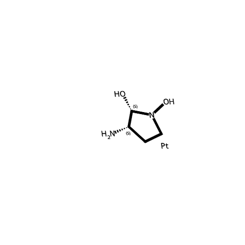 N[C@H]1CCN(O)[C@H]1O.[Pt]